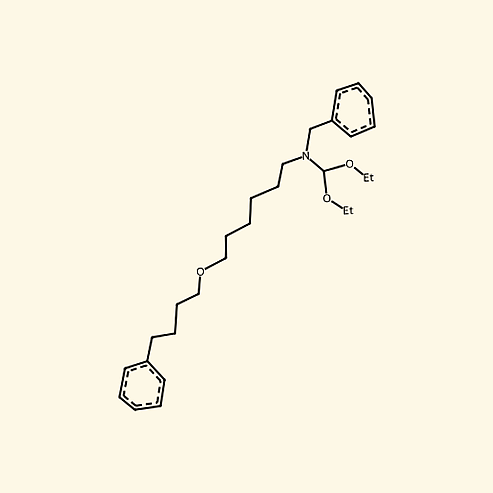 CCOC(OCC)N(CCCCCCOCCCCc1ccccc1)Cc1ccccc1